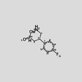 NCC(C[PH](=O)O)c1ccc(F)cc1